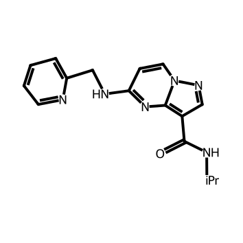 CC(C)NC(=O)c1cnn2ccc(NCc3ccccn3)nc12